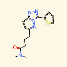 CN(C)C(=O)CCCc1ccc2nnc(-c3cccs3)n2n1